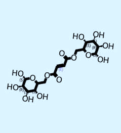 O=C(/C=C/C(=O)OCC1O[C@H](O)[C@H](O)[C@@H](O)[C@@H]1O)OCC1O[C@H](O)[C@H](O)[C@@H](O)[C@@H]1O